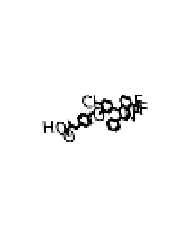 C/C(=C\c1ccc(COc2cc(-c3c(-c4ccccc4)cnc4c(C(F)(F)F)cccc34)ccc2Cl)cc1)C(=O)O